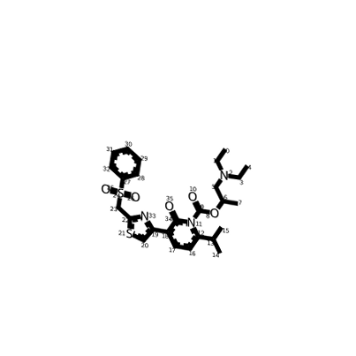 CCN(CC)CC(C)OC(=O)n1c(C(C)C)ccc(-c2csc(CS(=O)(=O)c3ccccc3)n2)c1=O